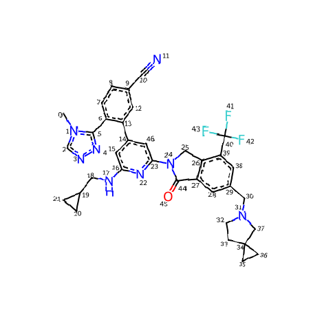 Cn1cnnc1-c1ccc(C#N)cc1-c1cc(NCC2CC2)nc(N2Cc3c(cc(CN4CCC5(CC5)C4)cc3C(F)(F)F)C2=O)c1